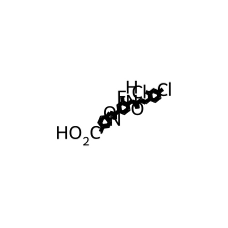 O=C(O)Cc1ccc2oc(-c3ccc(NC(=O)C=Cc4ccc(Cl)cc4Cl)c(F)c3)nc2c1